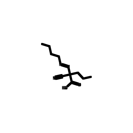 CCCCN=NC(C#N)(CCC)C(=O)O